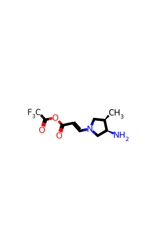 C[C@@H]1CN(C=CC(=O)OC(=O)C(F)(F)F)C[C@@H]1N